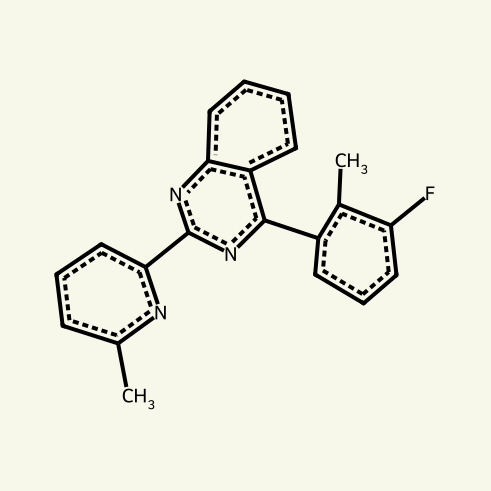 Cc1cccc(-c2nc(-c3cccc(F)c3C)c3ccccc3n2)n1